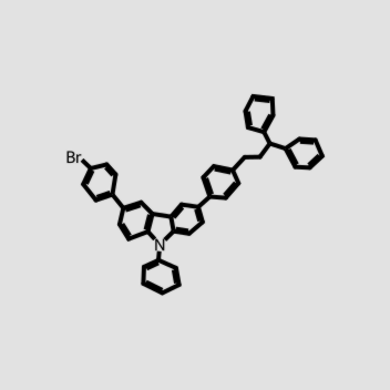 Brc1ccc(-c2ccc3c(c2)c2cc(-c4ccc(CCC(c5ccccc5)c5ccccc5)cc4)ccc2n3-c2ccccc2)cc1